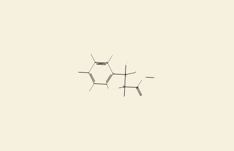 [2H]c1c([2H])c(C([2H])(O)C([2H])(N)C(=O)OC)c([2H])c(O)c1O